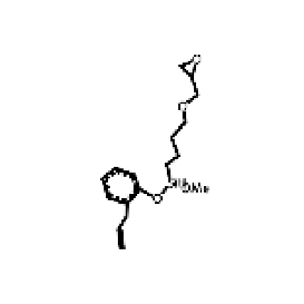 C=CCc1ccccc1O[SiH](CCCCOCC1CO1)OC